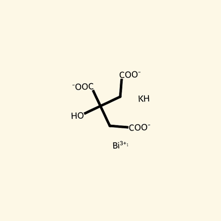 O=C([O-])CC(O)(CC(=O)[O-])C(=O)[O-].[Bi+3].[KH]